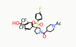 CC(=O)N1CCC(C(=O)N2CC[C@](c3ccc(C(O)(C(F)(F)F)C(F)(F)F)cc3)(S(=O)(=O)c3ccc(F)cc3)C2)CC1